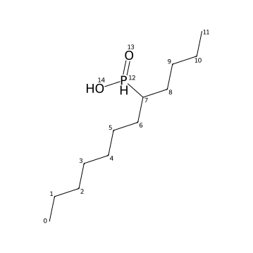 CCCCCCCC(CCCC)[PH](=O)O